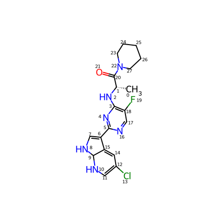 C[C@H](Nc1nc(C2=CNC3NC=C(Cl)C=C23)ncc1F)C(=O)N1CCCCC1